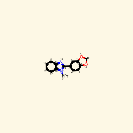 CCCn1c(-c2ccc3c(c2)OCO3)nc2ccccc21